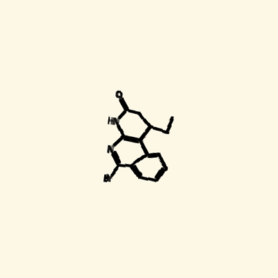 CCC1CC(=O)Nc2nc(Br)c3ccccc3c21